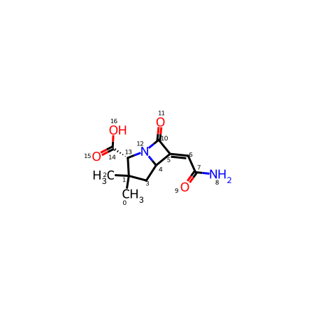 CC1(C)CC2/C(=C\C(N)=O)C(=O)N2[C@H]1C(=O)O